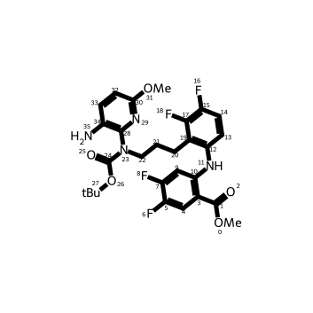 COC(=O)c1cc(F)c(F)cc1Nc1ccc(F)c(F)c1CCCN(C(=O)OC(C)(C)C)c1nc(OC)ccc1N